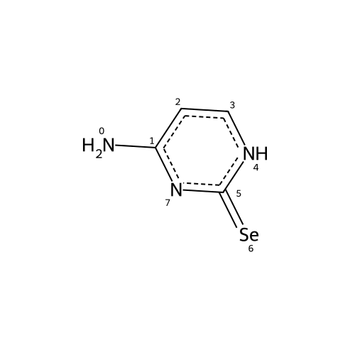 Nc1cc[nH]c(=[Se])n1